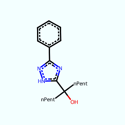 CCCCCC(O)(CCCCC)c1nc(-c2ccccc2)n[nH]1